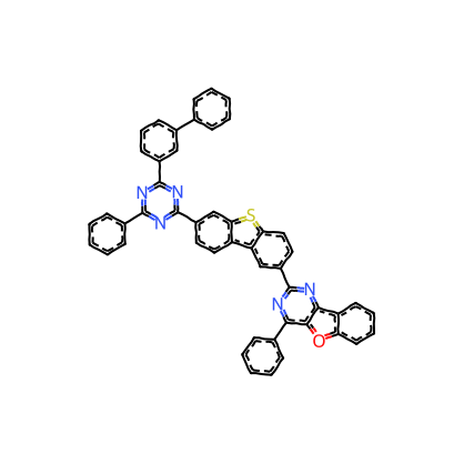 c1ccc(-c2cccc(-c3nc(-c4ccccc4)nc(-c4ccc5c(c4)sc4ccc(-c6nc(-c7ccccc7)c7oc8ccccc8c7n6)cc45)n3)c2)cc1